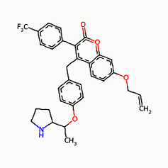 C=CCOc1ccc2c(Cc3ccc(OC(C)C4CCCN4)cc3)c(-c3ccc(C(F)(F)F)cc3)c(=O)oc2c1